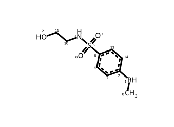 CBc1ccc(S(=O)(=O)NCCO)cc1